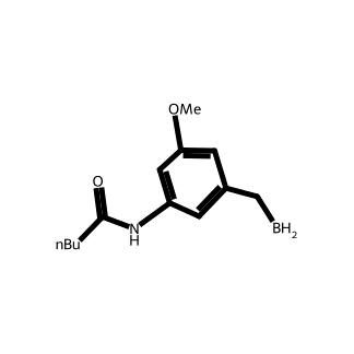 BCc1cc(NC(=O)CCCC)cc(OC)c1